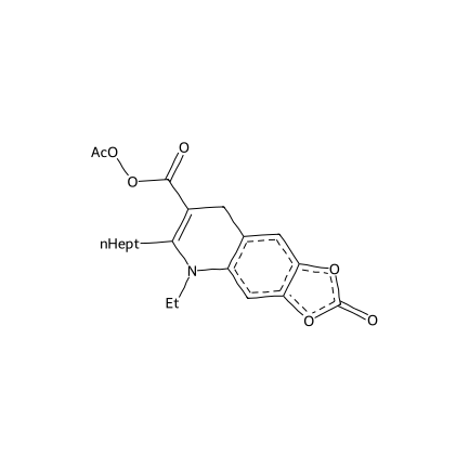 CCCCCCCC1=C(C(=O)OOC(C)=O)Cc2cc3oc(=O)oc3cc2N1CC